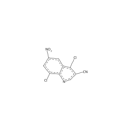 N#Cc1cnc2c(Cl)cc([N+](=O)[O-])cc2c1Cl